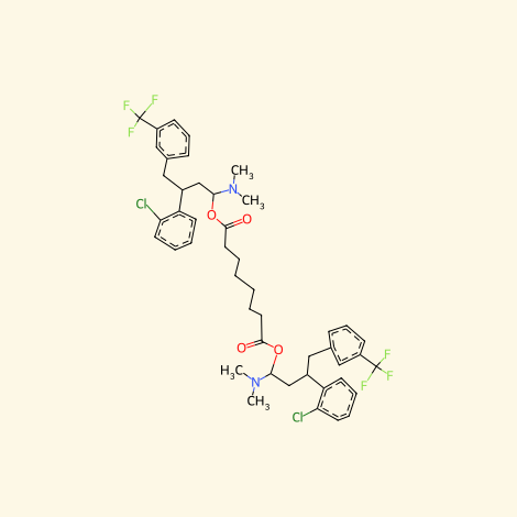 CN(C)C(CC(Cc1cccc(C(F)(F)F)c1)c1ccccc1Cl)OC(=O)CCCCCCC(=O)OC(CC(Cc1cccc(C(F)(F)F)c1)c1ccccc1Cl)N(C)C